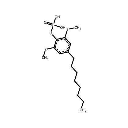 CCCCCCCCc1cc(SC)c(OP(=O)(O)O)c(SC)c1